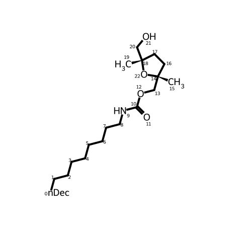 CCCCCCCCCCCCCCCCCCNC(=O)OC[C@@]1(C)CC[C@@](C)(CO)O1